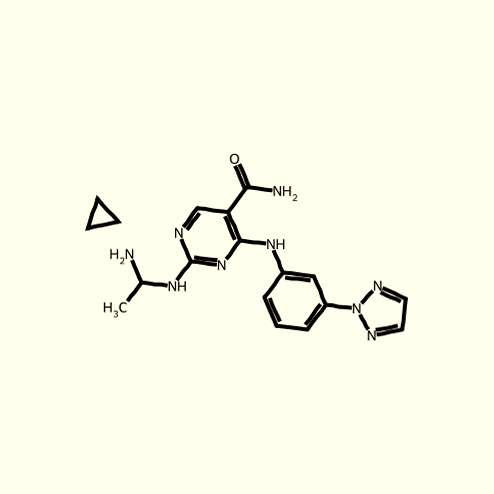 C1CC1.CC(N)Nc1ncc(C(N)=O)c(Nc2cccc(-n3nccn3)c2)n1